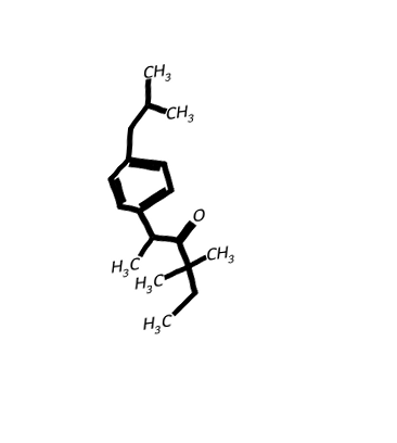 CCC(C)(C)C(=O)C(C)c1ccc(CC(C)C)cc1